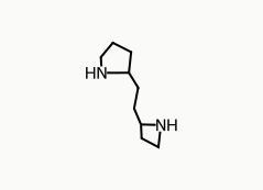 C1CNC(CCC2CCN2)C1